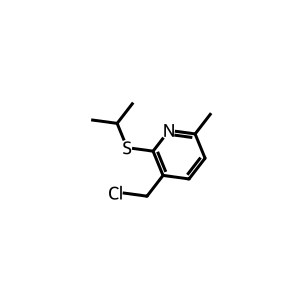 Cc1ccc(CCl)c(SC(C)C)n1